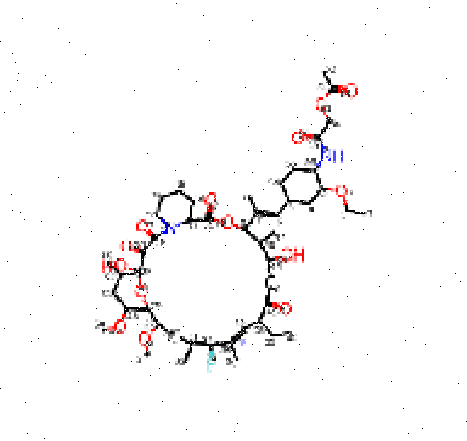 CCOC1CC(C=C(C)C2OC(=O)C3CCCCN3C(=O)C(=O)C3(O)OC(C(OC)CC(C)C(F)/C(C)=C/C(CC)C(=O)CC(O)C2C)C(OC)CC3C)CCC1NC(=O)COC(C)=O